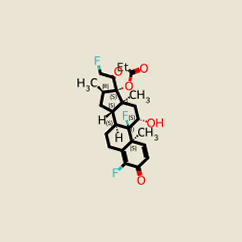 CCC(=O)O[C@@]1(C(=O)CF)[C@H](C)C[C@H]2[C@@H]3CCC4=C(F)C(=O)C=C[C@]4(C)[C@@]3(F)[C@@H](O)C[C@@]21C